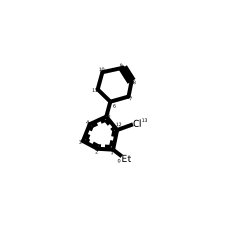 CCc1cccc(C2CC#CCC2)c1Cl